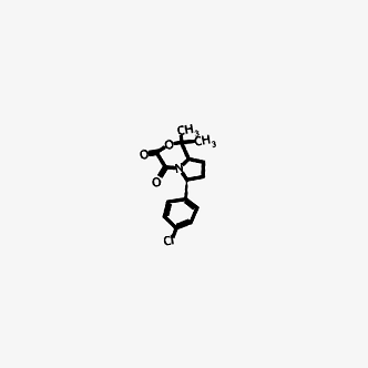 CC1(C)OC(=O)C(=O)N2C1CC[C@H]2c1ccc(Cl)cc1